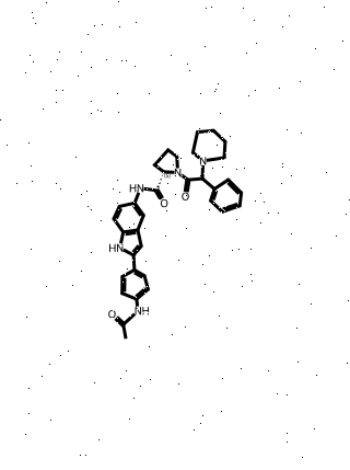 CC(=O)Nc1ccc(-c2cc3cc(NC(=O)[C@@H]4CCCN4C(=O)C(c4ccccc4)N4CCCCC4)ccc3[nH]2)cc1